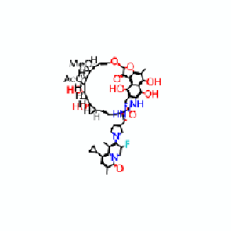 CO[C@H]1/C=C/O[C@@]2(C)Oc3c(C)c(O)c4c(O)c(c(/C=N/NCC5CCN(c6c(F)cn7c(=O)c(C)cc(C8CC8)c7c6C)C5)c(O)c4c3C2=O)NC(=O)/C(C)=C\C=C\[C@H](C)[C@H](O)[C@@H](C)[C@@H](O)[C@@H](C)[C@H](OC(C)=O)[C@@H]1C